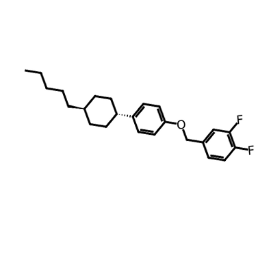 CCCCC[C@H]1CC[C@H](c2ccc(OCc3ccc(F)c(F)c3)cc2)CC1